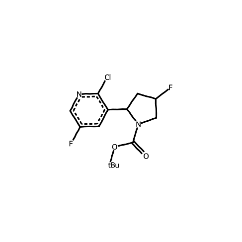 CC(C)(C)OC(=O)N1CC(F)CC1c1cc(F)cnc1Cl